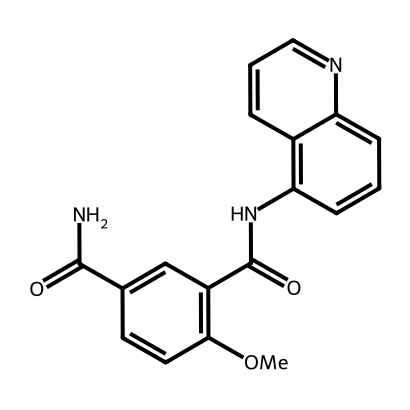 COc1ccc(C(N)=O)cc1C(=O)Nc1cccc2ncccc12